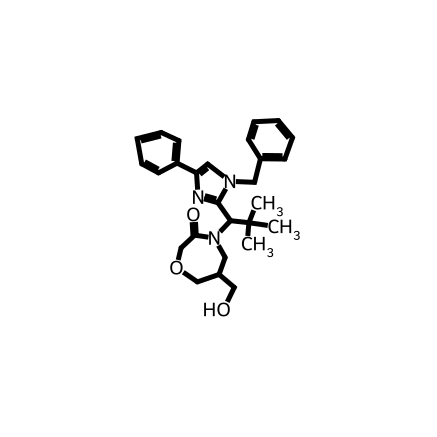 CC(C)(C)C(c1nc(-c2ccccc2)cn1Cc1ccccc1)N1CC(CO)COCC1=O